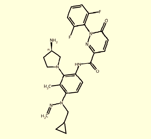 C=NN(CC1CC1)c1ccc(NC(=O)c2ccc(=O)n(-c3c(F)cccc3F)n2)c(N2CC[C@@H](N)C2)c1C